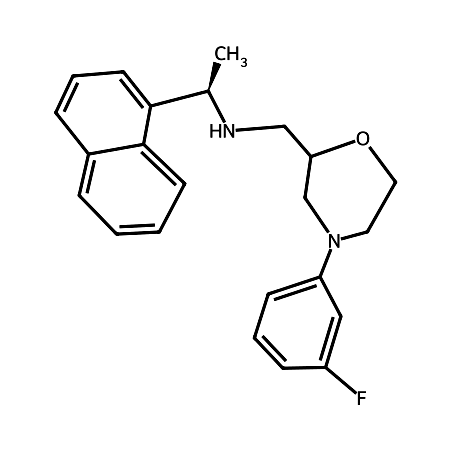 C[C@@H](NCC1CN(c2cccc(F)c2)CCO1)c1cccc2ccccc12